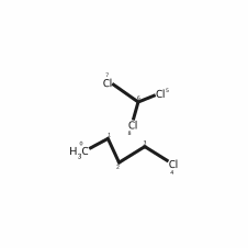 CCCCCl.ClC(Cl)Cl